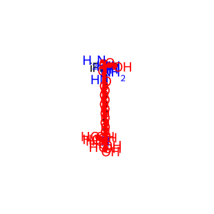 CC(C)[C@H](NC(=O)[C@@H](N)CCCCNC(=O)CCOCCOCCOCCOCCOCCOCCOCCOCCOCCOCCOCCOCCN(C[C@H](O)[C@@H](O)[C@H](O)[C@H](O)CO)C[C@H](O)[C@@H](O)[C@H](O)[C@H](O)CO)C(=O)N[C@@H](CCCCN)C(=O)Nc1ccc(CO)cc1